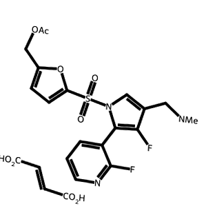 CNCc1cn(S(=O)(=O)c2ccc(COC(C)=O)o2)c(-c2cccnc2F)c1F.O=C(O)C=CC(=O)O